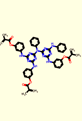 C=C(C)C(=O)Oc1cccc(Nc2nc(Nc3ccccc3)nc(N(c3ccccc3)c3nc(Nc4cccc(OC(=O)C(=C)C)c4)nc(Nc4cccc(OC(=O)C(=C)C)c4)n3)n2)c1